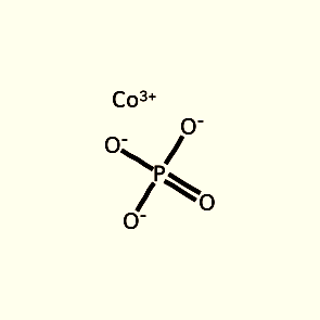 O=P([O-])([O-])[O-].[Co+3]